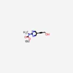 CN(C(=O)OC(C)(C)C)c1ncc(C#CCO)cn1